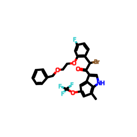 Cc1cc(OC(F)(F)F)cc2c(C(=O)C(Br)c3ccc(F)cc3OCCOCc3ccccc3)c[nH]c12